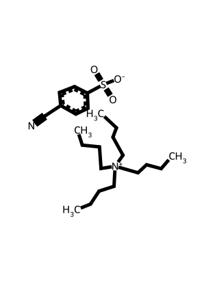 CCCC[N+](CCCC)(CCCC)CCCC.N#Cc1ccc(S(=O)(=O)[O-])cc1